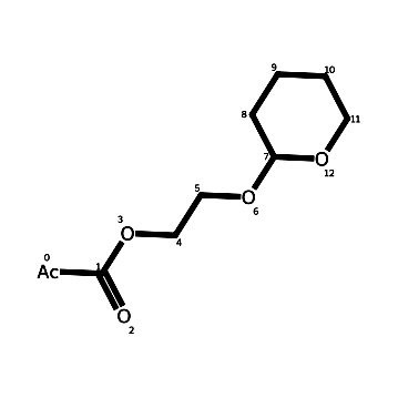 CC(=O)C(=O)OCCOC1CCCCO1